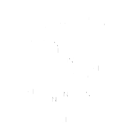 O=C(NC1(C2CC2)CC1)c1c(NC(=O)c2cc(Cl)nn2-c2ncccc2Cl)c(Cl)cc2c1OCO2